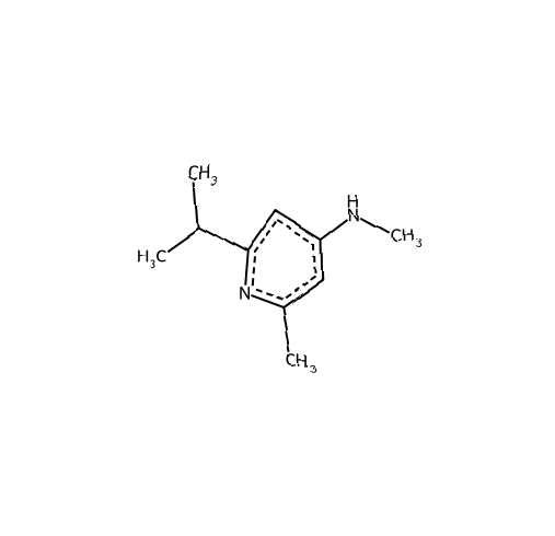 CNc1cc(C)nc(C(C)C)c1